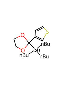 CCC[CH2][Sn]([CH2]CCC)([CH2]CCC)[C]1(c2ccsc2)OCCO1